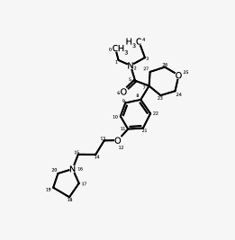 CCN(CC)C(=O)C1(c2ccc(OCCCN3CCCC3)cc2)CCOCC1